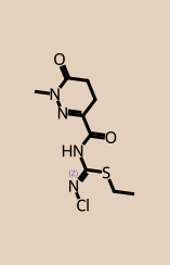 CCS/C(=N\Cl)NC(=O)C1=NN(C)C(=O)CC1